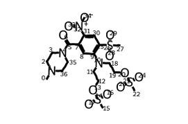 CN1CCN(C(=O)c2cc(N(CCOS(C)(=O)=O)CCOS(C)(=O)=O)c(S(C)(=O)=O)cc2[N+](=O)[O-])CC1